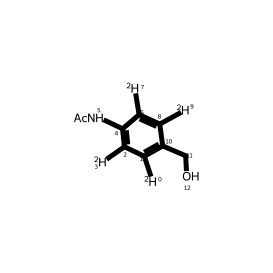 [2H]c1c([2H])c(NC(C)=O)c([2H])c([2H])c1CO